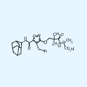 CC(C)Sc1c(OCC(C)(C)C(=O)N[C@@H](C)C(=O)O)noc1C(=O)NC1C2CC3CC(C2)CC1C3